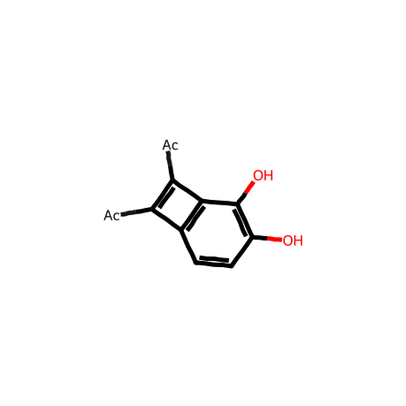 CC(=O)C1=C(C(C)=O)c2c1ccc(O)c2O